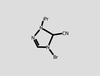 CC(C)N1N=CN(Br)C1C#N